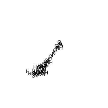 Nc1nc2c(ncn2[C@@H]2O[C@@H]3COP(=O)(O)OC4[C@@H](COP(=O)(S)O[C@@H]3C2O)O[C@@H](n2cnc3c(NC(=O)CCOCCOCCOCCOCCNC(=O)CCN5C(=O)C=CC5=O)ncnc32)[C@H]4S)c(=O)[nH]1